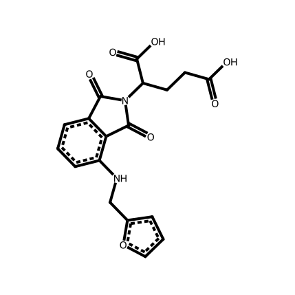 O=C(O)CCC(C(=O)O)N1C(=O)c2cccc(NCc3ccco3)c2C1=O